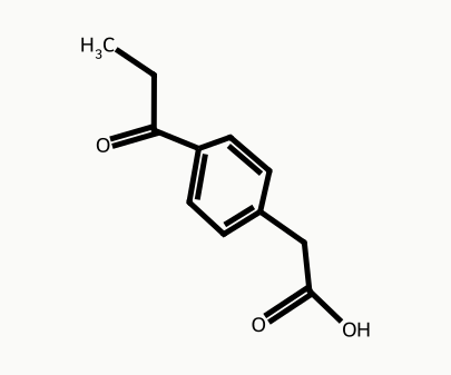 CCC(=O)c1ccc(CC(=O)O)cc1